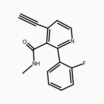 C#Cc1ccnc(-c2ccccc2F)c1C(=O)NC